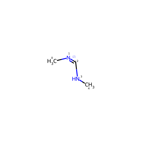 C/N=[C]\NC